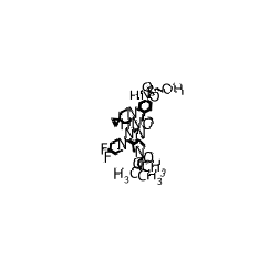 CC(C)(C)OC(=O)N1Cc2nc(NC(=O)c3ccc(NS(=O)(=O)CCO)cc3N3CCC4(CC3)CC4)nc(N3CCC(F)(F)CC3)c2C1